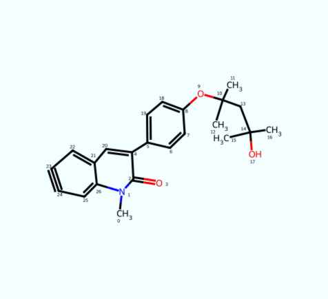 Cn1c(=O)c(-c2ccc(OC(C)(C)CC(C)(C)O)cc2)cc2cc#ccc21